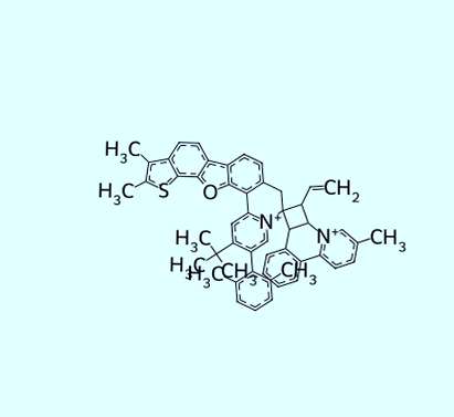 C=CC1C2C(c3ccccc3-c3ccc(C)c[n+]32)C12Cc1ccc3c(oc4c3ccc3c(C)c(C)sc34)c1-c1cc(C(C)(C)C)c(-c3c(C)cccc3C)c[n+]12